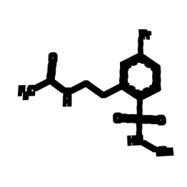 CC(C)c1ccc(S(=O)(=O)NC(C)(C)C)c(CCNC(=O)C(F)(F)F)c1